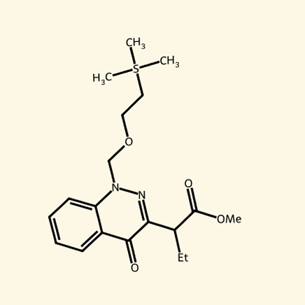 CCC(C(=O)OC)c1nn(COCCS(C)(C)C)c2ccccc2c1=O